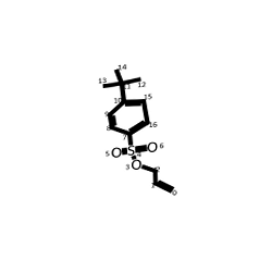 C=C[CH]OS(=O)(=O)c1ccc(C(C)(C)C)cc1